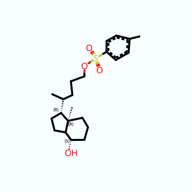 Cc1ccc(S(=O)(=O)OCCCC(C)[C@H]2CCC3[C@@H](O)CCC[C@@]32C)cc1